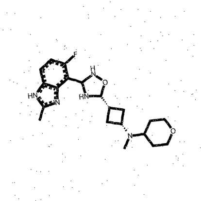 Cc1nc2c(C3NOC([C@H]4C[C@@H](N(C)C5CCOCC5)C4)N3)c(F)ccc2[nH]1